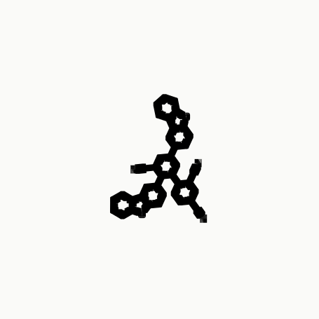 N#Cc1ccc(-c2cc(-c3ccc4oc5ccccc5c4c3)cc(C#N)c2-c2ccc3oc4ccccc4c3c2)c(C#N)c1